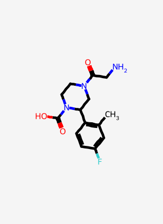 Cc1cc(F)ccc1C1CN(C(=O)CN)CCN1C(=O)O